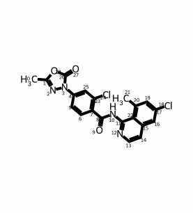 Cc1nn(-c2ccc(C(=O)Nc3nccc4cc(Cl)cc(C)c34)c(Cl)c2)c(=O)o1